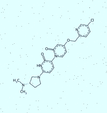 CN(C)[C@H]1CCN(c2ccc(-n3ccc(OCc4ccc(Cl)cn4)cc3=O)c(=O)[nH]2)C1